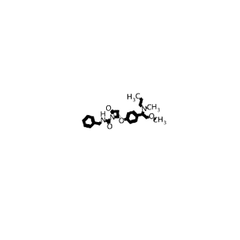 CCCN(C)C(COC)c1ccc(O[C@H]2CC(=O)N2C(=O)NCc2ccccc2)cc1